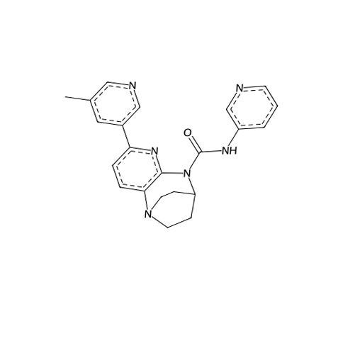 Cc1cncc(-c2ccc3c(n2)N(C(=O)Nc2cccnc2)C2CCN3CC2)c1